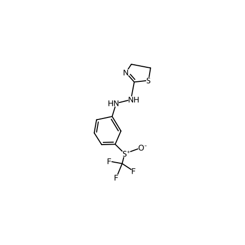 [O-][S+](c1cccc(NNC2=NCCS2)c1)C(F)(F)F